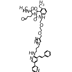 CNC(=O)C(CCC=O)N(C=O)C(=O)c1c(C)cccc1NCCOCCOCc1cn(CCCNc2ncc(-c3cccnc3)cc2/C=C/c2ccccc2)nn1